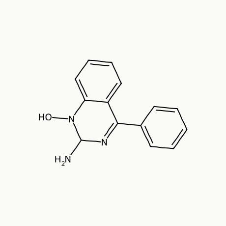 NC1N=C(c2ccccc2)c2ccccc2N1O